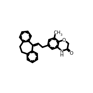 Cc1cc(CC=C2c3ccccc3CCc3ccccc32)cc2c1OCC(=O)N2